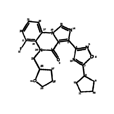 O=c1c2c(-c3noc(C4CCCC4)n3)ncn2c2cccc(F)c2n1CC1CCCO1